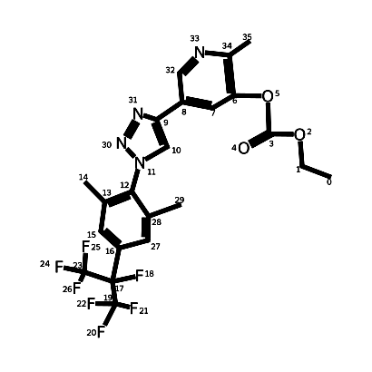 CCOC(=O)Oc1cc(-c2cn(-c3c(C)cc(C(F)(C(F)(F)F)C(F)(F)F)cc3C)nn2)cnc1C